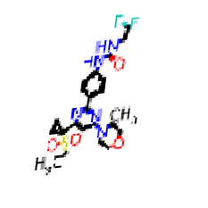 CCS(=O)(=O)C1(c2cc(N3CCOC[C@@H]3C)nc(-c3ccc(NC(=O)NCC(F)F)cc3)n2)CC1